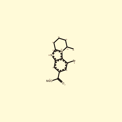 COC(=O)c1cc(Br)c2c(c1)nc1n2C(C)CCC1